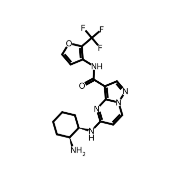 N[C@H]1CCCC[C@H]1Nc1ccn2ncc(C(=O)Nc3ccoc3C(F)(F)F)c2n1